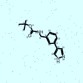 CC(C)(C)OC(=O)NCc1cccc(-c2cn[nH]c2)c1